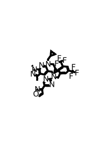 Cc1nn(C)c2nc(N(CC3CC3)CC3CC3)c(CN(Cc3cc(C(F)(F)F)cc(C(F)(F)F)c3)c3ncc(-c4ccon4)cn3)cc12